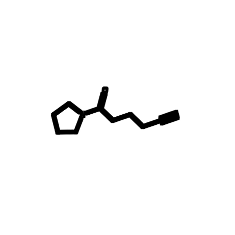 C#CCCCC(=O)N1CCCC1